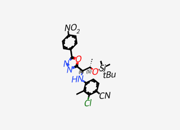 Cc1c(N[C@@H](c2nnc(-c3ccc([N+](=O)[O-])cc3)o2)[C@H](C)O[Si](C)(C)C(C)(C)C)ccc(C#N)c1Cl